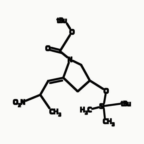 CC(C=C1CC(O[Si](C)(C)C(C)(C)C)CN1C(=O)OC(C)(C)C)[N+](=O)[O-]